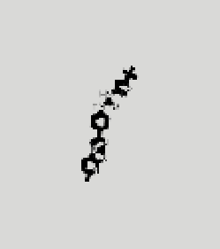 Cc1ccc2c(n1)sc1nc(-c3ccc(NC(=O)Nc4cc(C(C)(C)C)on4)cc3)cn12